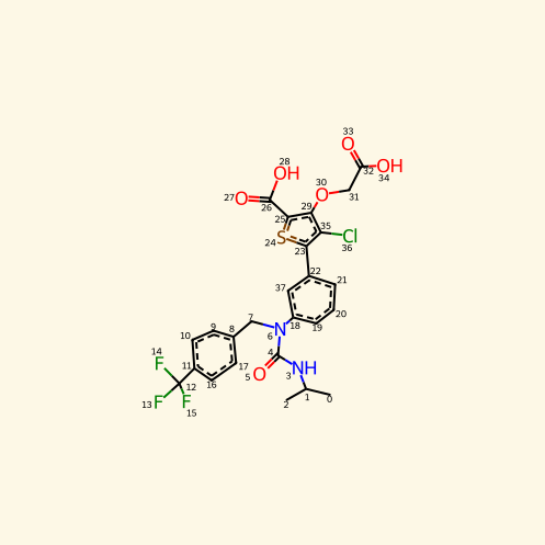 CC(C)NC(=O)N(Cc1ccc(C(F)(F)F)cc1)c1cccc(-c2sc(C(=O)O)c(OCC(=O)O)c2Cl)c1